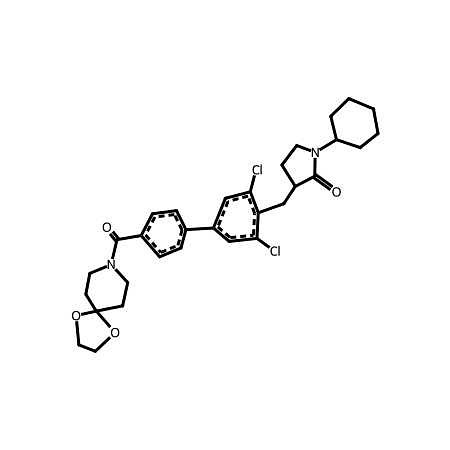 O=C(c1ccc(-c2cc(Cl)c(CC3CCN(C4CCCCC4)C3=O)c(Cl)c2)cc1)N1CCC2(CC1)OCCO2